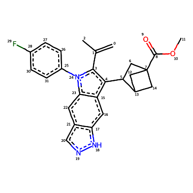 C=C(C)c1c(C2CC3(C(=O)OC)CC2C3)c2cc3[nH]ncc3cc2n1-c1ccc(F)cc1